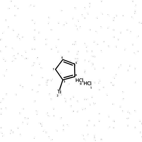 Cl.Cl.[Ti][C]1=CC=CC1